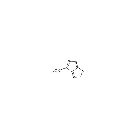 O=C(O)C1=NC=C2SCC=C21